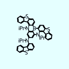 CC(C)N(c1cc2c3c(c1)N(C(C)C)c1c(ccc4sc5ccccc5c14)B3c1ccc3sc4ccccc4c3c1N2C(C)C)c1cccc2sc3ccccc3c12